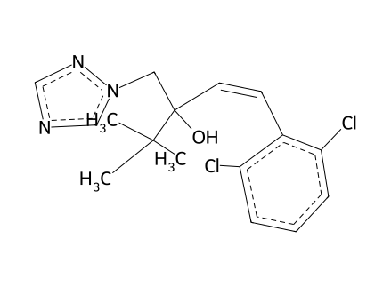 CC(C)(C)C(O)(/C=C\c1c(Cl)cccc1Cl)Cn1cncn1